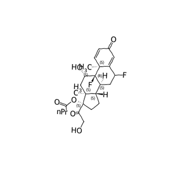 CCCC(=O)O[C@@]1(C(=O)CO)CC[C@H]2[C@@H]3CC(F)C4=CC(=O)C=C[C@]4(C)[C@@]3(F)[C@@H](O)C[C@@]21C